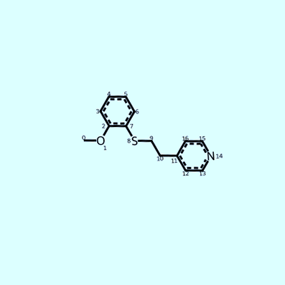 COc1ccccc1SCCc1ccncc1